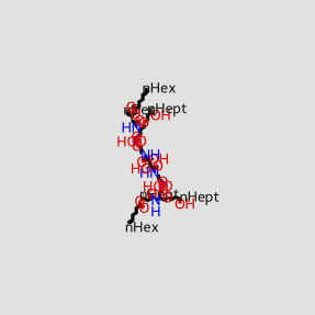 CCCCCC/C=C/CCCC(=O)O[C@H](CCCCCCC)CC(=O)NC(COCC[C@H](O)CCCCCCC)COP(=O)(O)OCCNC(=O)[C@@H](O)[C@H](O)C(=O)NCCOP(=O)(O)OCC(COCC[C@H](O)CCCCCCC)NC(=O)C[C@@H](CCCCCCCCCCC)OC(=O)CCC/C=C/CCCCCC